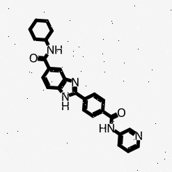 O=C(Nc1cccnc1)c1ccc(-c2nc3cc(C(=O)NC4CCCCC4)ccc3[nH]2)cc1